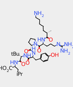 CC(C)C[C@H](NC(=O)[C@@H](NC(=O)[C@H](Cc1ccc(O)cc1)NC(=O)[C@@H]1CCCN1C(=O)[C@H](CCCN=C(N)N)NC(=O)[C@@H](C)CCCCCN)C(C)(C)C)C(=O)O